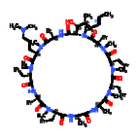 C/C=C/C[C@@H](C)[C@@H](O)[C@H]1C(=O)N[C@@H](CC)C(=O)N(C)[C@H](CCCN(C)C)C(=O)N(C)[C@@H](CC(C)C)C(=O)N[C@@H](C(C)C)C(=O)N(C)[C@@H](CC(C)C)C(=O)N[C@@H](C)C(=O)N[C@H](C)C(=O)N(C)[C@@H](CC(C)C)C(=O)N(C)[C@@H](CC(C)C)C(=O)N(C)[C@@H](C(C)C)C(=O)N1C